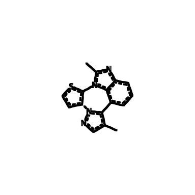 Cc1cnn(C)c1-c1cccc2nc(C)n(-c3cccs3)c12